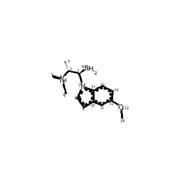 B[C@H]([C@@H](C)N(C)C)n1ccc2cc(OC)ccc21